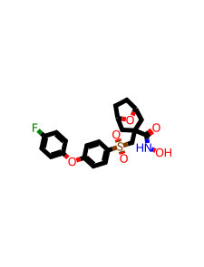 O=C(NO)C1(CS(=O)(=O)c2ccc(Oc3ccc(F)cc3)cc2)CC2CCC(C1)O2